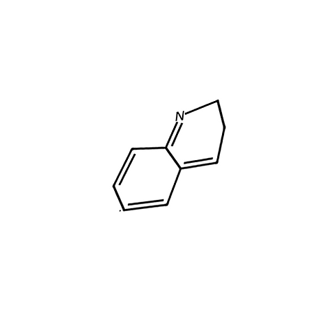 [c]1ccc2c(c1)=CCCN=2